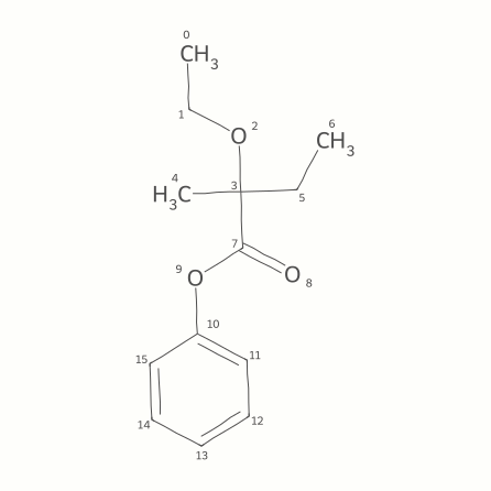 CCOC(C)(CC)C(=O)Oc1ccccc1